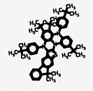 CC(C)(C)c1ccc(N2c3ccc(C(C)(C)C)cc3N3c4sc5cc6c(cc5c4N(c4ccc(C(C)(C)C)cc4)c4cc5c(c2c43)C(C)(C)OC5(C)C)-c2ccccc2C6(C)C)cc1